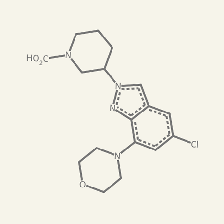 O=C(O)N1CCCC(n2cc3cc(Cl)cc(N4CCOCC4)c3n2)C1